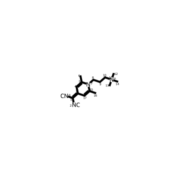 [C-]#[N+]C([N+]#[C-])=C1C=C(C)N(CCC[N+](C)(C)C)C(C)=C1